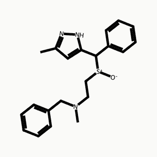 Cc1cc(C(c2ccccc2)[S+]([O-])CCN(C)Cc2ccccc2)[nH]n1